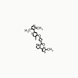 Cc1nc(C2CC=NN2C(=O)N2CC(Oc3cc(-c4c(C)cnn4C)ncc3F)C2)cs1